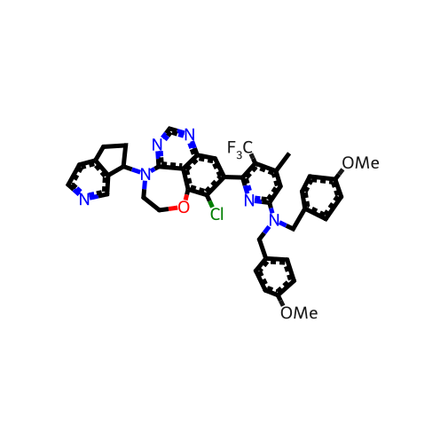 COc1ccc(CN(Cc2ccc(OC)cc2)c2cc(C)c(C(F)(F)F)c(-c3cc4ncnc5c4c(c3Cl)OCCN5C3CCc4ccncc43)n2)cc1